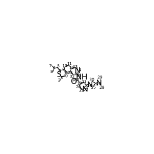 C=C(C)S/C(=C\C(C)C)c1ccc2cnc(NC(=O)c3ccnc(N4CC(N(C)C)C4)c3)cc2c1